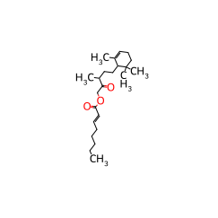 CCCCCC=CC(=O)OCC(=O)C(C)CCC1C(C)=CCCC1(C)C